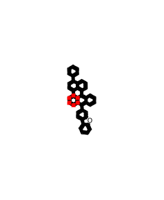 c1ccc(-c2ccc(-c3ccccc3)c3c(-c4c5ccccc5c(-c5ccc6c(c5)oc5ccccc56)c5ccccc45)cccc23)cc1